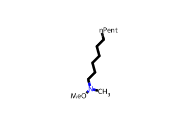 CCCCCCCCCCCN(C)OC